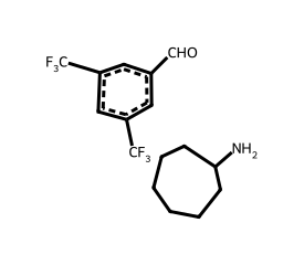 NC1CCCCCC1.O=Cc1cc(C(F)(F)F)cc(C(F)(F)F)c1